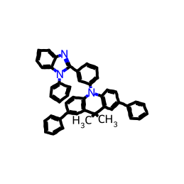 CC1(C)c2cc(-c3ccccc3)ccc2N(c2cccc(-c3nc4ccccc4n3-c3ccccc3)c2)c2ccc(-c3ccccc3)cc21